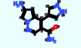 NC(=O)c1cnn2cc(N)cc2c1-c1cn[nH]c1